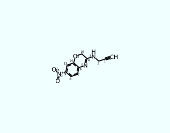 C#CCNC1=Nc2ccc([N+](=O)[O-])cc2OC1